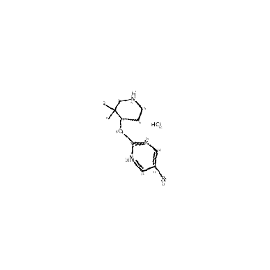 CC1(C)CNCCC1Oc1ncc(Br)cn1.Cl